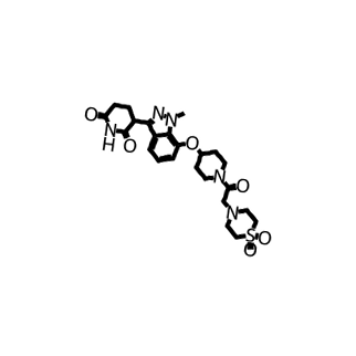 Cn1nc(C2CCC(=O)NC2=O)c2cccc(OC3CCN(C(=O)CN4CCS(=O)(=O)CC4)CC3)c21